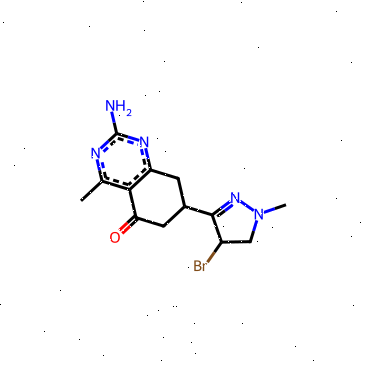 Cc1nc(N)nc2c1C(=O)CC(C1=NN(C)CC1Br)C2